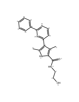 Cc1[nH]c(C(=O)NCCO)c(C)c1-c1ccnc(-c2ccccc2)n1